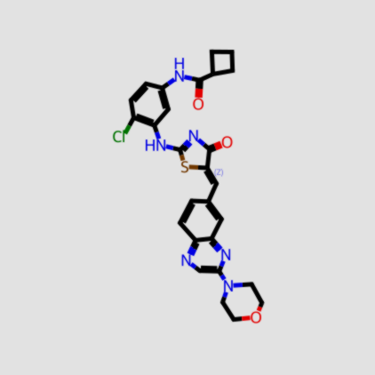 O=C1N=C(Nc2cc(NC(=O)C3CCC3)ccc2Cl)S/C1=C\c1ccc2ncc(N3CCOCC3)nc2c1